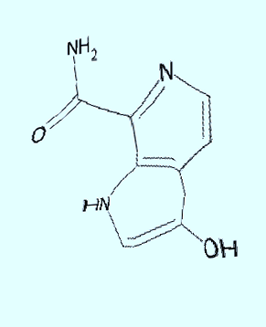 NC(=O)c1nccc2c(O)c[nH]c12